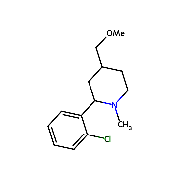 COCC1CCN(C)C(c2ccccc2Cl)C1